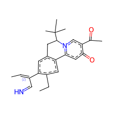 C/C=C(\C=N)c1cc2c(cc1CC)-c1cc(=O)c(C(C)=O)cn1C(C(C)(C)C)C2